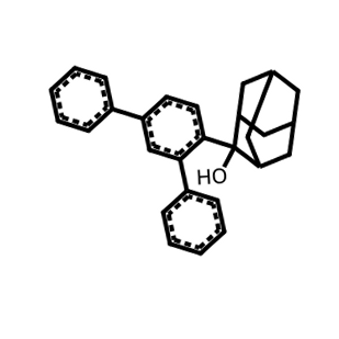 OC1(c2ccc(-c3ccccc3)cc2-c2ccccc2)C2CC3CC(C2)CC1C3